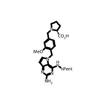 CCCCCNc1nc(N)nc2ccn(Cc3ccc(CN4CCC[C@H]4C(=O)O)cc3OC)c12